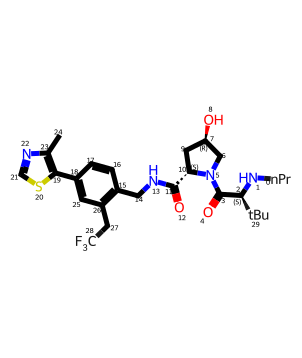 CCCN[C@H](C(=O)N1C[C@H](O)C[C@H]1C(=O)NCc1ccc(-c2scnc2C)cc1CC(F)(F)F)C(C)(C)C